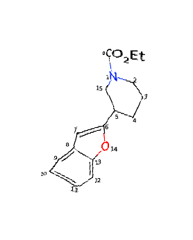 CCOC(=O)N1CCCC(c2cc3ccccc3o2)C1